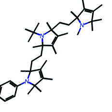 CC1=C(C)C(C)(CCC2(C)C(C)=C(C)C(C)(CCC3(C)C(C)=C(C)C(C)(C)N3c3ccccc3)N2C(C)(C)C)N(C)C1(C)C